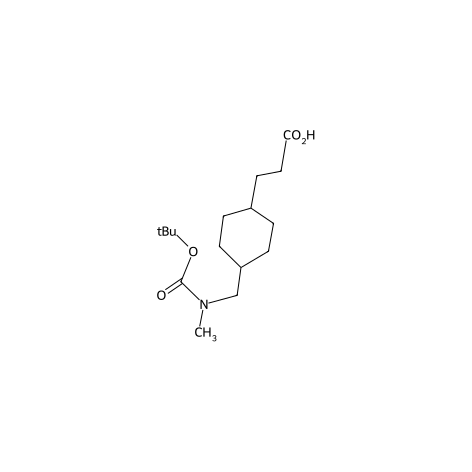 CN(CC1CCC(CCC(=O)O)CC1)C(=O)OC(C)(C)C